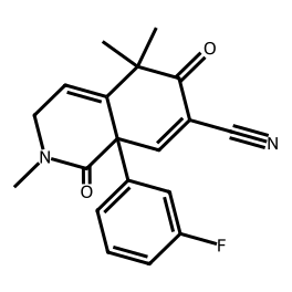 CN1CC=C2C(C)(C)C(=O)C(C#N)=CC2(c2cccc(F)c2)C1=O